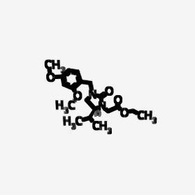 CCOC(=O)CN1C(=O)N(Cc2ccc(OC)cc2OC)C[C@@H]1C(C)C